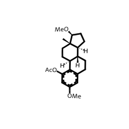 COc1cc2c(c(OC(C)=O)c1)[C@H]1CC[C@]3(C)[C@@H](OC)CC[C@H]3[C@@H]1CC2